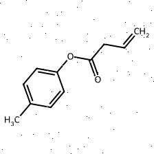 C=CCC(=O)Oc1ccc(C)cc1